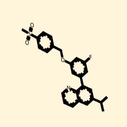 CC(C)c1cc(-c2cc(F)cc(OCc3ccc(S(C)(=O)=O)cc3)c2)c2ncccc2c1